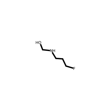 OCNCCCF